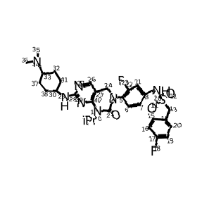 CC(C)N1C(=O)N(c2ccc(NS(=O)(=O)Cc3ccc(F)cc3)cc2F)Cc2cnc(NC3CCC(N(C)C)CC3)nc21